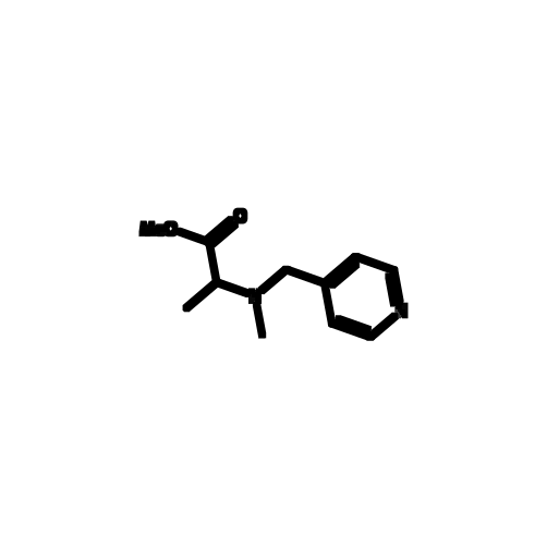 COC(=O)C(C)N(C)Cc1ccncc1